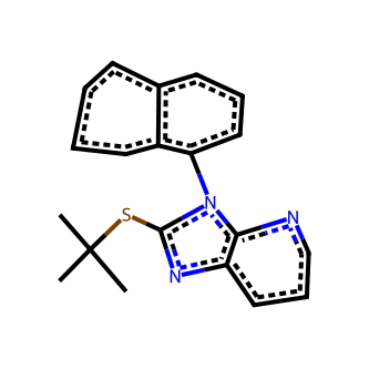 CC(C)(C)Sc1nc2cccnc2n1-c1cccc2ccccc12